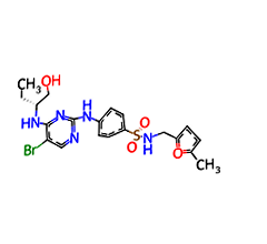 CC[C@H](CO)Nc1nc(Nc2ccc(S(=O)(=O)NCc3ccc(C)o3)cc2)ncc1Br